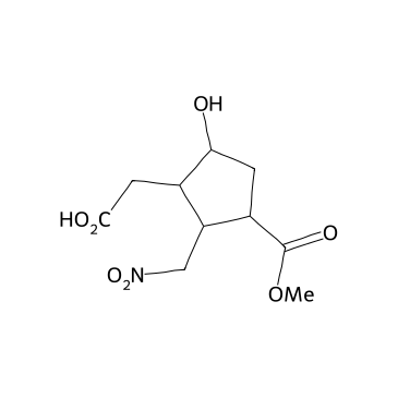 COC(=O)C1CC(O)C(CC(=O)O)C1C[N+](=O)[O-]